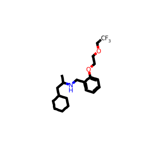 CC(CC1CCCCC1)NCc1ccccc1OCCOCC(F)(F)F